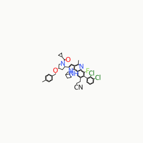 Cc1ccc(COC2CC(c3cc4c(C)nc5c(F)c(-c6cccc(Cl)c6Cl)c(CCC#N)cc5c4n3C3C4CNC3C4)N(C(=O)C3CC3)C2)cc1